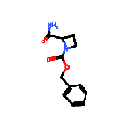 NC(=O)C1CCN1C(=O)OCc1ccccc1